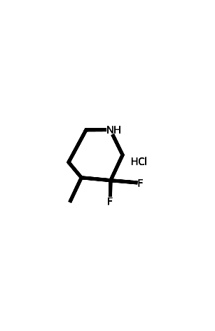 CC1CCNCC1(F)F.Cl